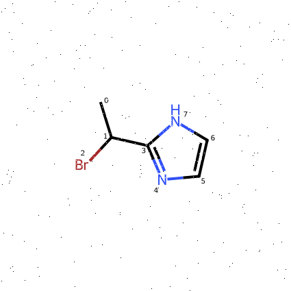 CC(Br)c1ncc[nH]1